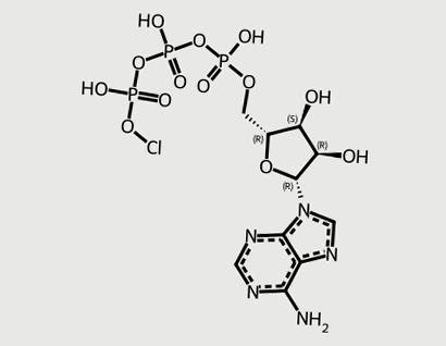 Nc1ncnc2c1ncn2[C@@H]1O[C@H](COP(=O)(O)OP(=O)(O)OP(=O)(O)OCl)[C@@H](O)[C@H]1O